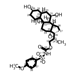 COc1ccc(S(=O)(=O)NC(=O)OC[C@@H](C)[C@H]2CC[C@H]3[C@@H]4[C@H](O)C[C@@H]5C[C@H](O)CC[C@]5(C)[C@H]4CC[C@]23C)cc1